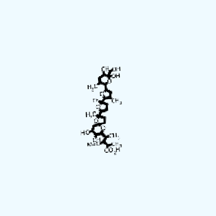 CCC1(C2OC(C3OC(O)(CO)C(C)CC3C)CC2C)CCC(C2(C)CCC3(CC(O)C(C)C(C(C)C(OC)C(C)C(=O)O)O3)O2)O1